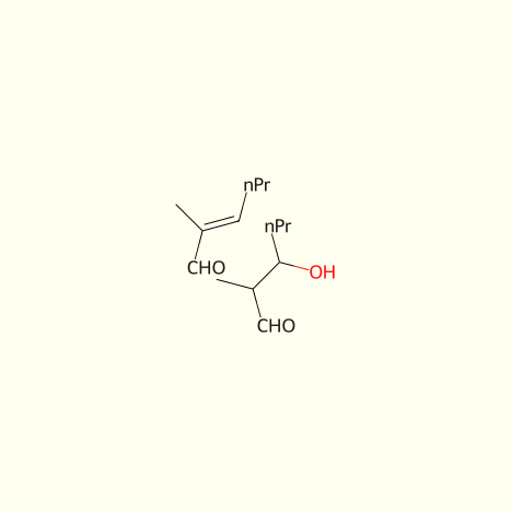 CCCC(O)C(C)C=O.CCCC=C(C)C=O